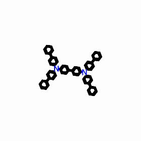 C1=CCCC(c2ccc(N(c3ccc(C4=CCCC=C4)cc3)c3ccc(-c4ccc(N(c5ccc(C6=CC=CCC6)cc5)c5ccc(C6C=CC=CC6)cc5)cc4)cc3)cc2)=C1